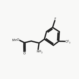 COC(=O)CC(N)c1cc(F)cc(C(F)(F)F)c1